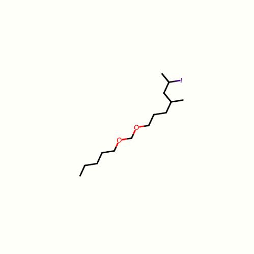 CCCCCOCOCCCC(C)CC(C)I